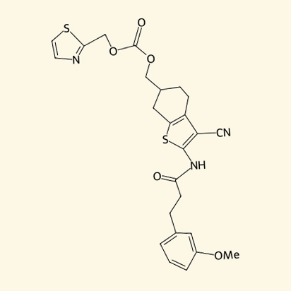 COc1cccc(CCC(=O)Nc2sc3c(c2C#N)CCC(COC(=O)OCc2nccs2)C3)c1